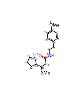 COc1ccc(CCNC(=O)CC(SC)C2CCCN2)cc1